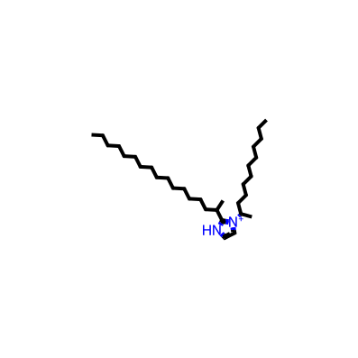 CCCCCCCCCCCCCCCC(C)c1[nH]cc[n+]1C(C)CCCCCCCCCC